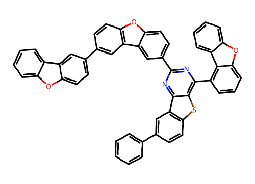 c1ccc(-c2ccc3sc4c(-c5cccc6oc7ccccc7c56)nc(-c5ccc6oc7ccc(-c8ccc9oc%10ccccc%10c9c8)cc7c6c5)nc4c3c2)cc1